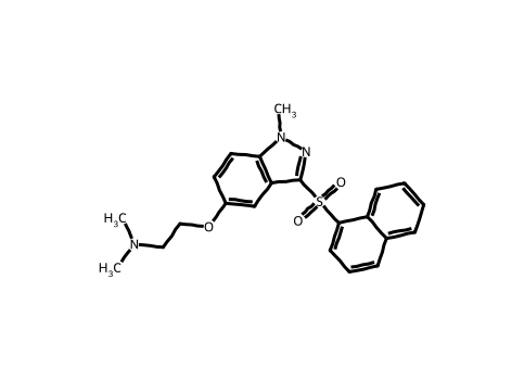 CN(C)CCOc1ccc2c(c1)c(S(=O)(=O)c1cccc3ccccc13)nn2C